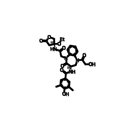 CCO[C@]1(NC(=O)CN2C(=O)[C@@H](NC(=O)c3cc(C)c(O)c(C)c3)CN(C(=O)CO)c3ccccc32)COC(=O)C1